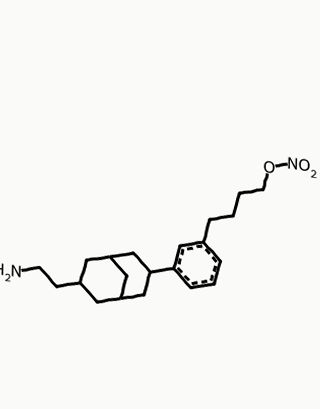 NCCC1CC2CC(C1)CC(c1cccc(CCCCO[N+](=O)[O-])c1)C2